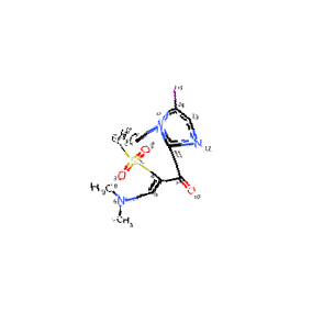 CCS(=O)(=O)C(=CN(C)C)C(=O)c1ncc(I)n1C